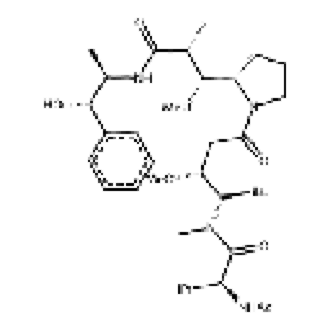 CC[C@H](C)[C@@H]([C@@H](CC(=O)N1CCC[C@H]1[C@H](OC)[C@@H](C)C(=O)N[C@H](C)[C@@H](O)c1ccccc1)OC)N(C)C(=O)[C@@H](NC(C)=O)C(C)C